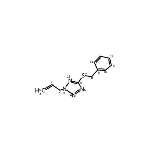 C=CCn1nnc(SCc2ccccc2)n1